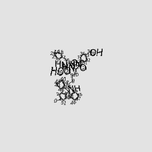 Cc1ccc(C(NCCCCC(NC(=O)C(Cc2ccccc2)NC(=O)O)C(=O)Nc2ccc(CO)cc2)(c2ccccc2)c2ccccc2)cc1